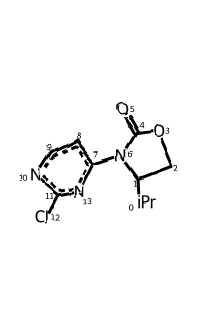 CC(C)C1COC(=O)N1c1ccnc(Cl)n1